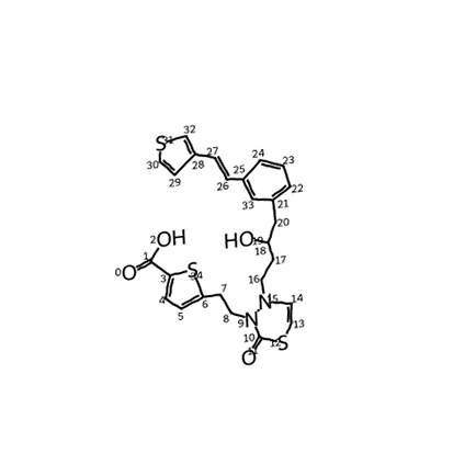 O=C(O)c1ccc(CCN2C(=O)SC=CN2CCC(O)Cc2cccc(C=Cc3ccsc3)c2)s1